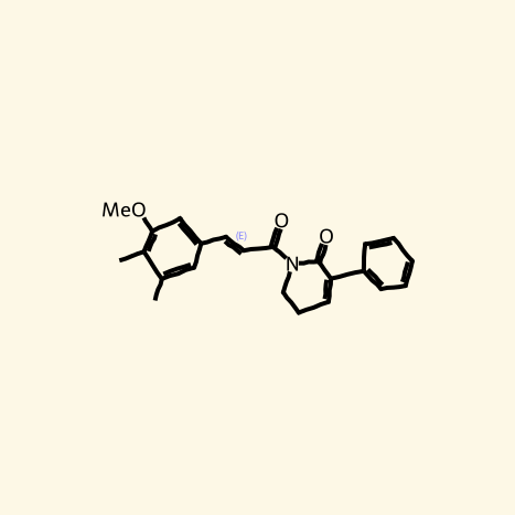 COc1cc(/C=C/C(=O)N2CCC=C(c3ccccc3)C2=O)cc(C)c1C